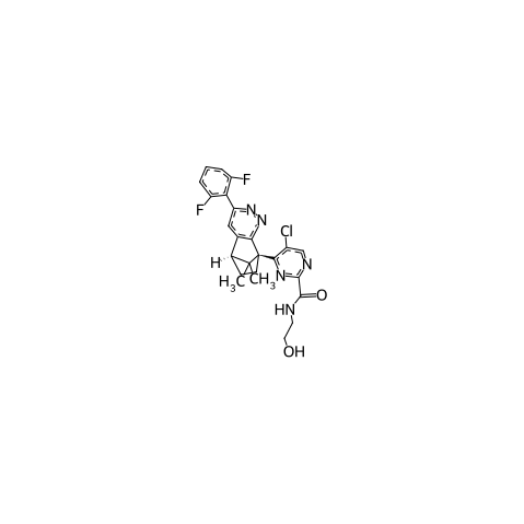 CC1(C)[C@H]2CC[C@@]1(c1nc(C(=O)NCCO)ncc1Cl)c1nnc(-c3c(F)cccc3F)cc12